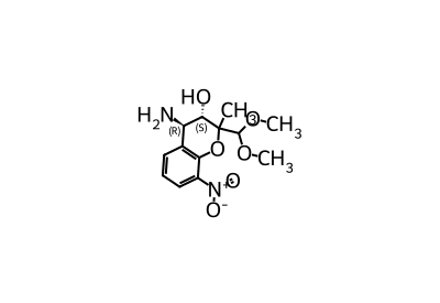 COC(OC)C1(C)Oc2c(cccc2[N+](=O)[O-])[C@@H](N)[C@@H]1O